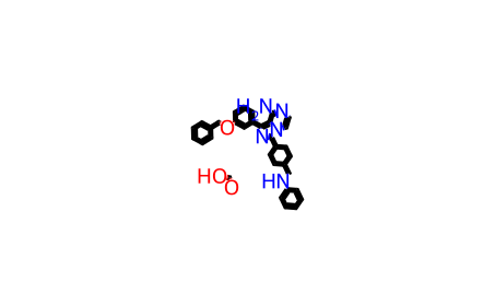 Nc1nccn2c(C3CCC(CNc4ccccc4)CC3)nc(-c3cccc(OCc4ccccc4)c3)c12.O=CO